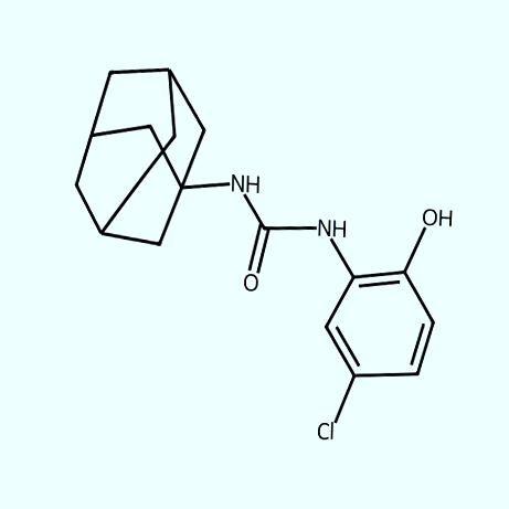 O=C(Nc1cc(Cl)ccc1O)NC12CC3CC(CC(C3)C1)C2